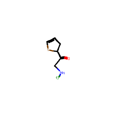 O=C(CNCl)C1CC=CS1